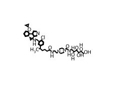 CC(CCCC(=O)NCCN1CCN(C(=O)NCC(O)C(O)C(O)C(O)CO)CC1)c1ccc(Cl)c(CNC2(c3cnccc3-c3ccccc3OC3CC3)CC2)c1